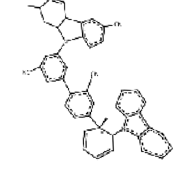 CC1C=CC2c3cc(C#N)ccc3N(c3cc(C#N)cc(-c4ccc([C@@]5(C)C=CC=CC5n5c6ccccc6c6ccccc65)cc4C#N)c3)C2C1